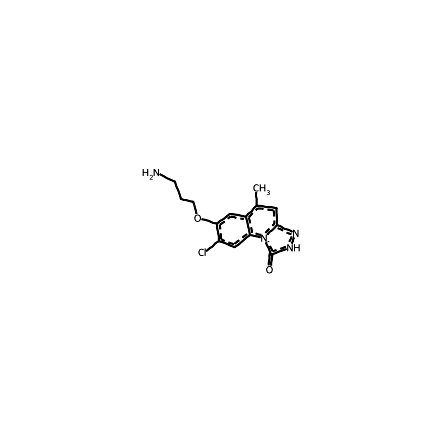 Cc1cc2n[nH]c(=O)n2c2cc(Cl)c(OCCCN)cc12